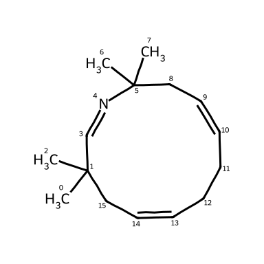 CC1(C)C=NC(C)(C)CC=CCCC=CC1